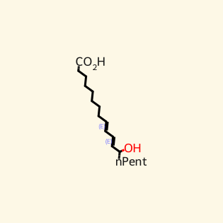 CCCCCC(O)/C=C/C=C/CCCCCCCC(=O)O